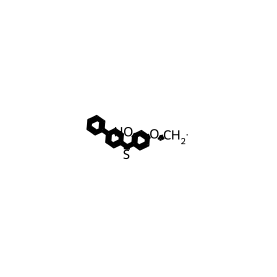 [CH2]COc1ccc(C(=S)c2ccc(-c3ccccc3)cc2)c(O)c1